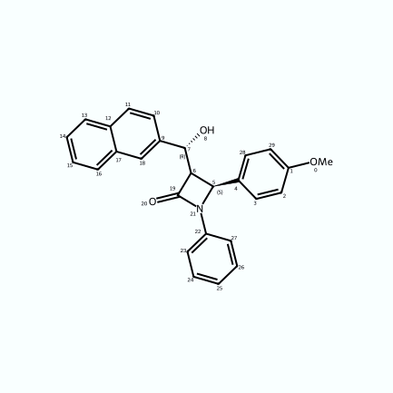 COc1ccc([C@@H]2C([C@@H](O)c3ccc4ccccc4c3)C(=O)N2c2ccccc2)cc1